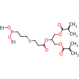 C=C(C)C(=O)OCC(COC(=O)C(=C)C)OC(=O)CCSCCCP(OCC)OCC